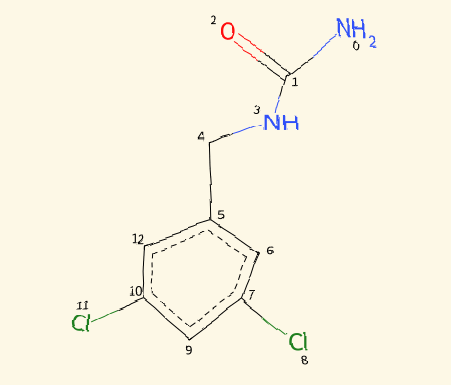 NC(=O)NCc1cc(Cl)cc(Cl)c1